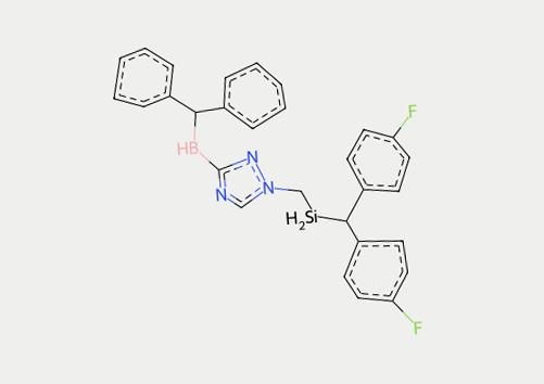 Fc1ccc(C([SiH2]Cn2cnc(BC(c3ccccc3)c3ccccc3)n2)c2ccc(F)cc2)cc1